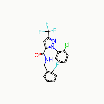 O=C(NCc1ccccc1F)c1cc(C(F)(F)F)nn1-c1ccccc1Cl